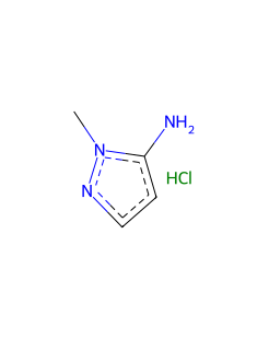 Cl.Cn1nccc1N